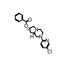 O=C(O[C@H]1C[C@H]2CN(c3ccc(Cl)cn3)CCN2C1)c1ccccc1